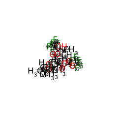 CCC(C)(CC(C)(CC(C)(C)C(=O)OC(C)(C)C(C)(C)C)C(=O)OCC(=O)OC(C(F)(F)F)C(F)(F)F)C(=O)OC(CC(C)C)CC(O)(C(F)(F)F)C(F)(F)F